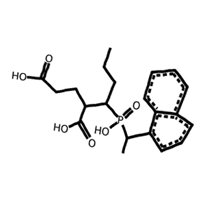 CCCC(C(CCC(=O)O)C(=O)O)P(=O)(O)C(C)c1cccc2ccccc12